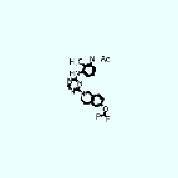 CC(=O)Nc1cccc(Nc2ncnc(N3CCc4cc(OC(F)F)ccc4C3)n2)c1C